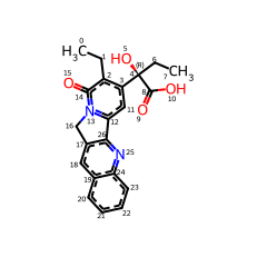 CCc1c([C@](O)(CC)C(=O)O)cc2n(c1=O)Cc1cc3ccccc3nc1-2